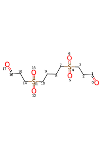 O=CCCS(=O)(=O)CCCCS(=O)(=O)CCC=O